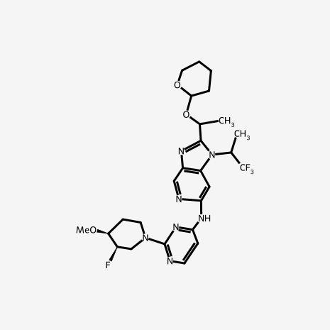 CO[C@H]1CCN(c2nccc(Nc3cc4c(cn3)nc(C(C)OC3CCCCO3)n4C(C)C(F)(F)F)n2)C[C@H]1F